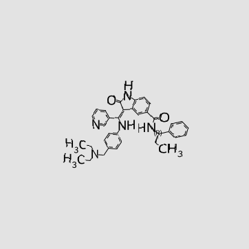 CC[C@@H](NC(=O)c1ccc2c(c1)C(=C(Nc1ccc(CN(CC)CC)cc1)c1cccnc1)C(=O)N2)c1ccccc1